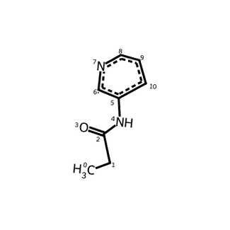 CCC(=O)Nc1[c]nccc1